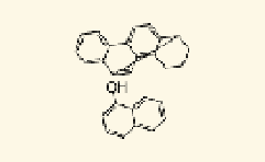 Oc1cccc2ccccc12.c1ccc2c(c1)c1cc3c4c(ccc32)C1CCC4